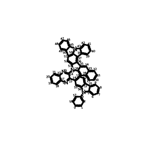 c1ccc(-n2c3ccccc3c3ccc(-c4nc5ccccc5nc4-n4c5cc6ccccc6cc5c5c6c7ccccc7n7c8ccccc8c(cc54)c67)cc32)cc1